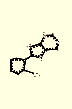 Cc1ccccc1-c1nc2cncnc2[nH]1